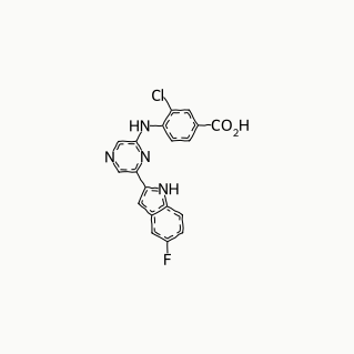 O=C(O)c1ccc(Nc2cncc(-c3cc4cc(F)ccc4[nH]3)n2)c(Cl)c1